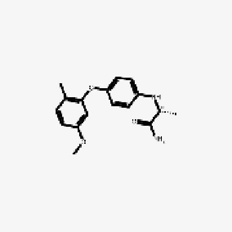 COc1ccc(C)c(Oc2ccc(N[C@H](C)C(N)=O)cc2)c1